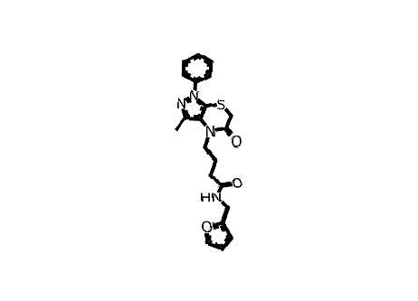 Cc1nn(-c2ccccc2)c2c1N(CCCC(=O)NCc1ccco1)C(=O)CS2